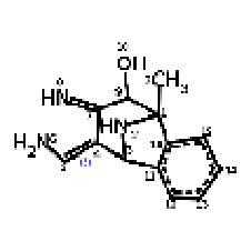 CC12NC(/C(=C/N)C(=N)C1O)c1ccccc12